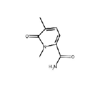 Cc1ccc(C(N)=O)n(C)c1=O